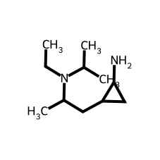 CCN(C(C)C)C(C)CC1CC1N